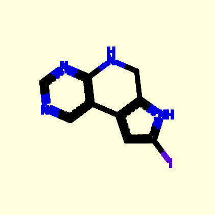 Ic1cc2c([nH]1)CNc1ncncc1-2